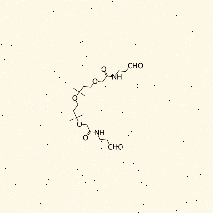 CC(C)(CCOCC(=O)NCCC=O)OCCC(C)(C)OCC(=O)NCCC=O